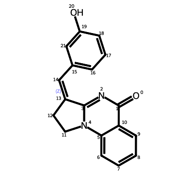 O=c1nc2n(c3ccccc13)CC/C2=C/c1cccc(O)c1